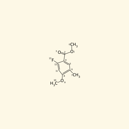 COC(=O)c1cc(C)c(OC)cc1F